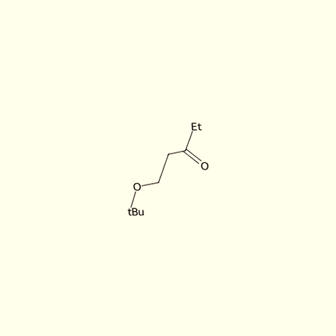 CCC(=O)CCOC(C)(C)C